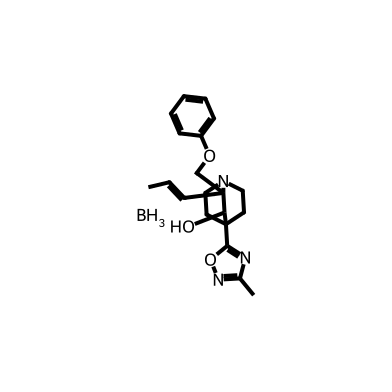 B.CC=CC1(COc2ccccc2)C(O)C2(c3nc(C)no3)CCN1CC2